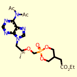 CCOC(=O)CC1COP(=O)(CO[C@H](C)Cn2cnc3c(N(C(C)=O)C(C)=O)ncnc32)OC1